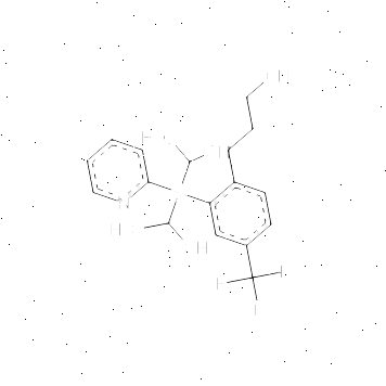 CCCCc1ccc(C(F)(F)F)cc1[Si](c1ccccn1)(C(C)C)C(C)C